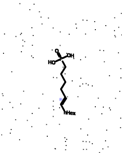 CCCCCC/C=C/CCCCP(=O)(O)O